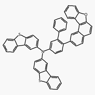 c1ccc(-c2cc(N(c3ccc4sc5ccccc5c4c3)c3ccc4sc5ccccc5c4c3)ccc2-c2ccc3ccc4oc5ccccc5c4c3c2)cc1